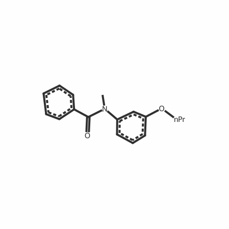 CCCOc1cccc(N(C)C(=O)c2ccccc2)c1